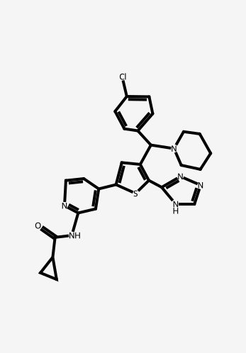 O=C(Nc1cc(-c2cc(C(c3ccc(Cl)cc3)N3CCCCC3)c(-c3nnc[nH]3)s2)ccn1)C1CC1